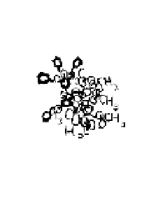 CC(=O)OC[C@H]1O[C@@H](OC[C@H]2O[C@@H](Oc3c(-c4cc(OCc5ccccc5)c(OCc5ccccc5)c(OCc5ccccc5)c4)oc4cc(OCc5ccccc5)cc(O)c4c3=O)[C@H](OC(C)=O)[C@@H](OC(C)=O)[C@H]2OC(C)=O)[C@H](OC(C)=O)[C@@H]1OC(C)=O